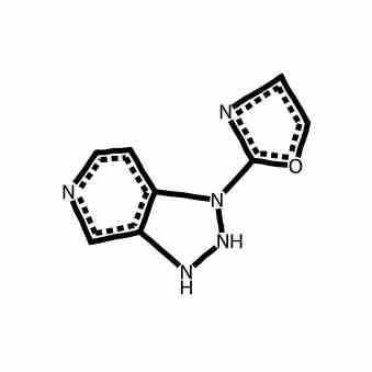 c1cc2c(cn1)NNN2c1ncco1